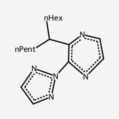 CCCCCCC(CCCCC)c1nccnc1-n1nccn1